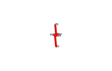 CC(C)CCCCCCCCCCCCCCCC(OC(CCCCCCCCCCCCCCCC(C)C)C(O)CO)C(O)CO